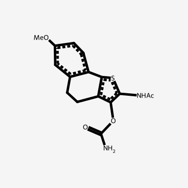 COc1ccc2c(c1)CCc1c-2sc(NC(C)=O)c1OC(N)=O